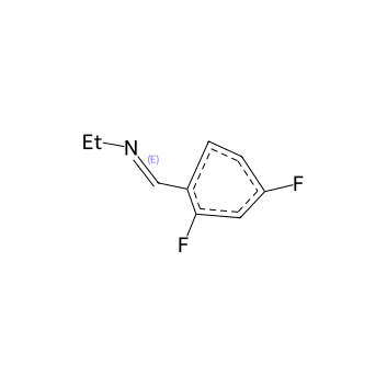 CC/N=C/c1ccc(F)cc1F